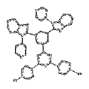 CC(C)c1ccc(-c2nc(-c3ccc(C(C)C)cc3)nc(-c3cc(-c4nc5ccccc5n4-c4ccncc4)cc(-c4nc5ccccc5n4-c4ccncc4)c3)n2)cc1